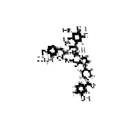 O=C(O)c1c(F)ccc2c1OB(O)C(NC(=O)C(NC(=O)N1CCN(C3CCN(C(=O)c4ccc(F)c(O)c4)CC3)C1=O)c1cc(F)c(O)c(O)c1Cl)C2